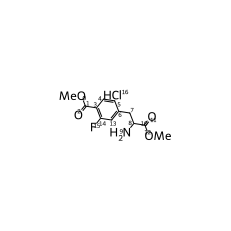 COC(=O)c1ccc(CC(N)C(=O)OC)cc1F.Cl